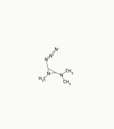 CN(C)C1C(N=[N+]=[N-])N1C